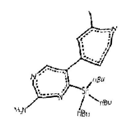 CCC[CH2][Sn]([CH2]CCC)([CH2]CCC)[c]1nc(N)ncc1-c1ccnc(C)c1